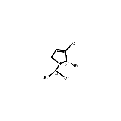 CC(=O)C1=CCN([S@@+]([O-])C(C)(C)C)[C@H]1C(C)C